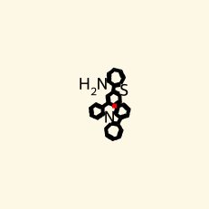 NC1=CCC=Cc2sc3ccc(-c4ccccc4-n4c5c(c6ccccc64)C=CC=CC5)cc3c21